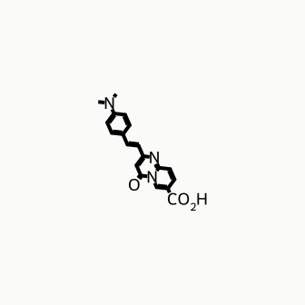 CN(C)c1ccc(/C=C/c2cc(=O)n3cc(C(=O)O)ccc3n2)cc1